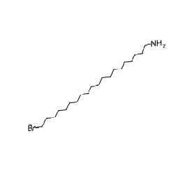 NCCCCCCCCCCCCCCCCCCCCBr